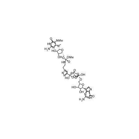 CNc1c(N(C)[C@@H]2O[C@H](COP(=O)(NCCn3cc(P(=O)(O)OP(=O)(O)OP(=O)(O)OC[C@H]4O[C@@H](n5cnc6c(=O)[nH]c(N)nc65)C(O)C4O)nn3)OC)C(O)C2O)nc(N)[nH]c1=O